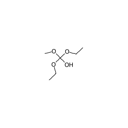 CCOC(O)(OC)OCC